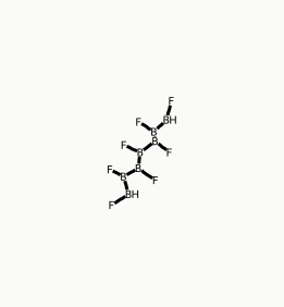 FBB(F)B(F)B(F)B(F)B(F)BF